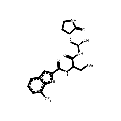 CC(C)(C)CC(NC(=O)c1cc2cccc(C(F)(F)F)c2[nH]1)C(=O)N[C@H](C#N)C[C@@H]1CCNC1=O